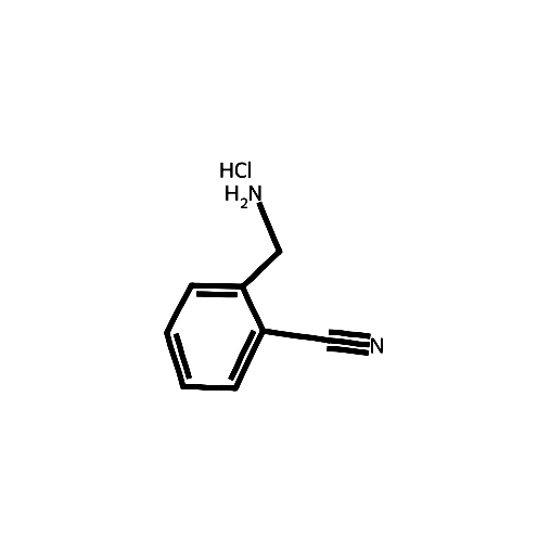 Cl.N#Cc1ccccc1CN